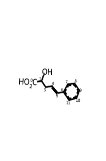 O=C(O)C(O)C/C=C/c1ccccc1